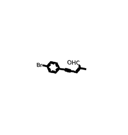 C/C(C=O)=C/C#Cc1ccc(Br)cc1